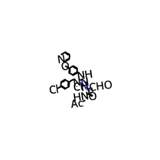 CC(=O)CNC(=O)/C(C=O)=N/N=C(/Nc1ccc(Oc2ccccn2)cc1)N(C)Cc1ccc(Cl)cc1